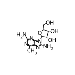 Cc1nc(N)nc2c1nc(N)n2[C@H]1O[C@@H](CO)[C@H](O)[C@@H]1O